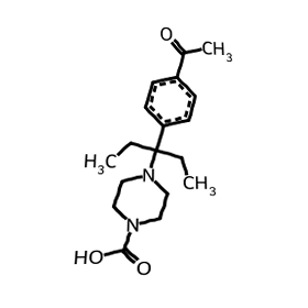 CCC(CC)(c1ccc(C(C)=O)cc1)N1CCN(C(=O)O)CC1